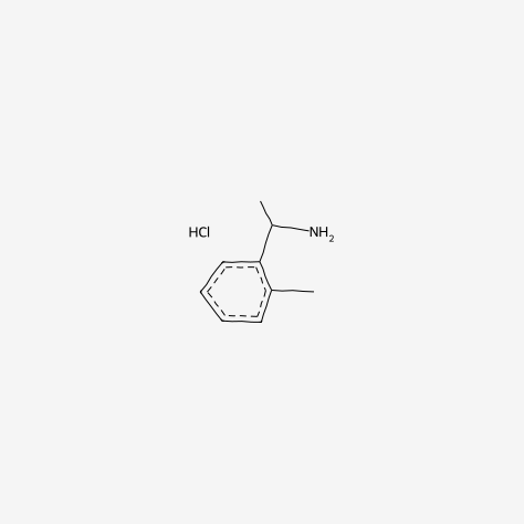 Cc1ccccc1C(C)N.Cl